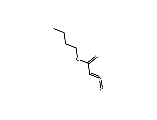 CCCCOC(=O)C=S=O